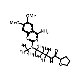 [2H]C([2H])([2H])N(c1nc(N)c2cc(OC)c(OC)cc2n1)C([2H])([2H])C([2H])([2H])C([2H])([2H])NC(=O)C1CCCO1